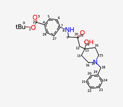 CC(C)(C)OC(=O)c1ccc(NCC(=O)CC2(O)CCN(Cc3ccccc3)CC2)cc1